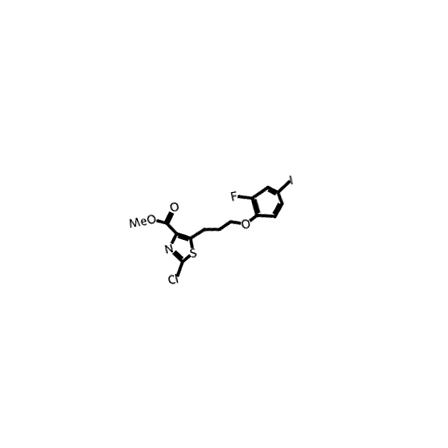 COC(=O)c1nc(Cl)sc1CCCOc1ccc(I)cc1F